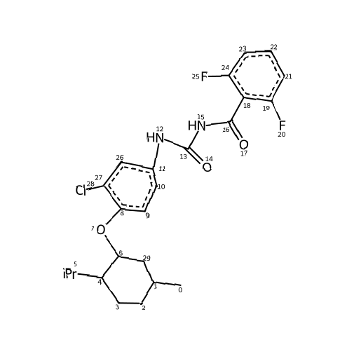 CC1CCC(C(C)C)C(Oc2ccc(NC(=O)NC(=O)c3c(F)cccc3F)cc2Cl)C1